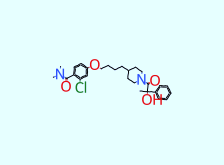 CN(C)C(=O)c1ccc(OCCCCC2CCN(C(=O)C(C)(O)c3ccccc3)CC2)cc1Cl